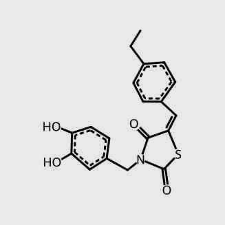 CCc1ccc(C=C2SC(=O)N(Cc3ccc(O)c(O)c3)C2=O)cc1